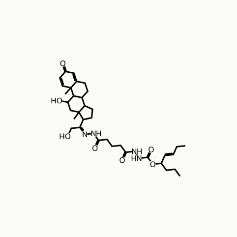 CC/C=C/C(CCC)OC(=O)NNC(=O)CCCC(=O)N/N=C(/CO)C1CCC2C3CCC4=CC(=O)C=CC4(C)C3C(O)CC12C